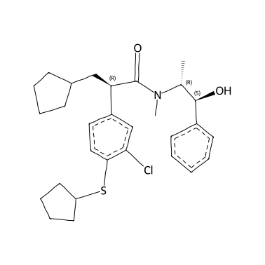 C[C@H]([C@@H](O)c1ccccc1)N(C)C(=O)[C@H](CC1CCCC1)c1ccc(SC2CCCC2)c(Cl)c1